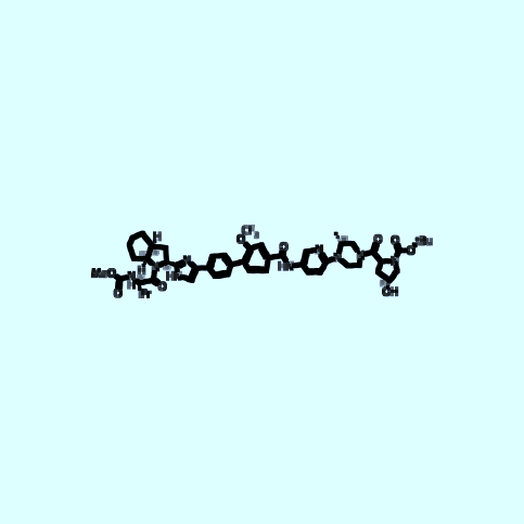 COC(=O)N[C@H](C(=O)N1[C@H](c2nc(-c3ccc(-c4ccc(C(=O)Nc5ccc(N6CCN(C(=O)C7C[C@@H](O)CN7C(=O)OC(C)(C)C)C[C@H]6C)nc5)cc4OC(F)(F)F)cc3)c[nH]2)C[C@@H]2CCCC[C@@H]21)C(C)C